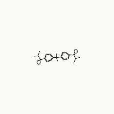 CC(C)C(=O)c1ccc(C(C)(C)c2ccc(C(=O)C(C)C)cc2)cc1